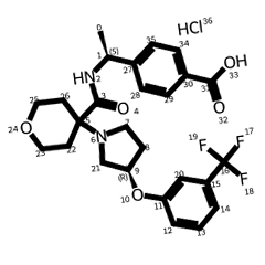 C[C@H](NC(=O)C1(N2CC[C@@H](Oc3cccc(C(F)(F)F)c3)C2)CCOCC1)c1ccc(C(=O)O)cc1.Cl